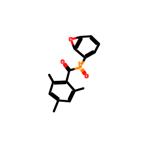 Cc1cc(C)c(C(=O)[PH](=O)c2cccc3c2O3)c(C)c1